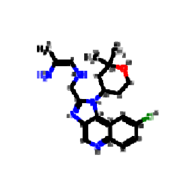 C/C(N)=C/NCc1nc2cnc3ccc(Cl)cc3c2n1C1CCOC(C)(C)C1